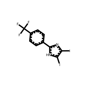 FC(F)(F)c1ccc(-c2nc(I)c(I)[nH]2)cc1